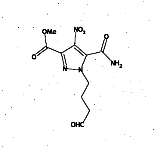 COC(=O)c1nn(CCCC=O)c(C(N)=O)c1[N+](=O)[O-]